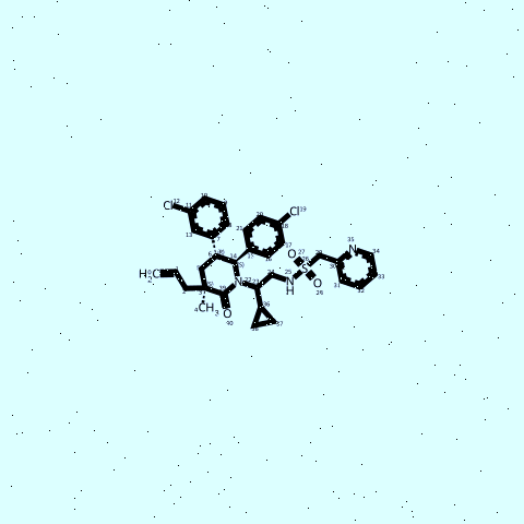 C=CC[C@@]1(C)C[C@H](c2cccc(Cl)c2)[C@@H](c2ccc(Cl)cc2)N(C(CNS(=O)(=O)Cc2ccccn2)C2CC2)C1=O